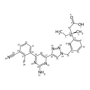 CC[C@](C)(CC(=O)O)c1cccc(Cn2cc(-c3cc(-c4cccc(C#N)c4F)nc(N)n3)nn2)n1